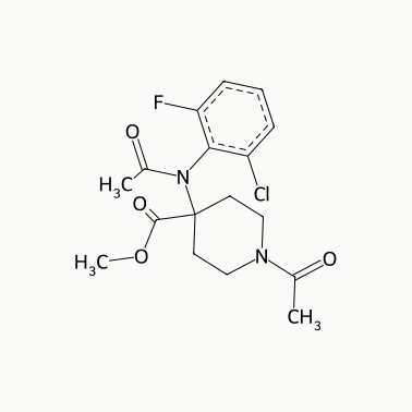 COC(=O)C1(N(C(C)=O)c2c(F)cccc2Cl)CCN(C(C)=O)CC1